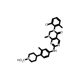 Cc1cc(Nc2ncc3c(n2)N(C)CN(c2c(C)cccc2Cl)C3=O)ccc1C1CCN(C(=O)O)CC1